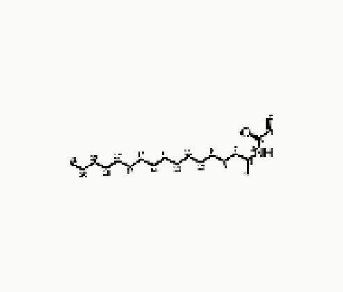 C=CC(=O)NC(C)CCCCCCCCCCCCCCC